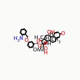 COc1ccc(OCc2ccccc2N)cc1[C@@H]1O[C@@H]2C[C@H]3[C@@H]4CCC5=CC(=O)C=C[C@]5(C)[C@H]4[C@@H](O)C[C@]3(C)[C@]2(C(=O)CO)O1